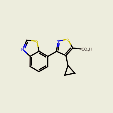 O=C(O)c1snc(-c2cccc3ncsc23)c1C1CC1